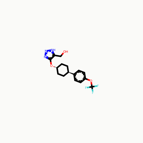 OCc1[nH]nnc1O[C@H]1CC[C@H](c2ccc(OC(F)(F)F)cc2)CC1